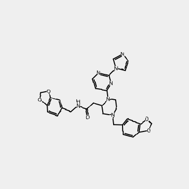 O=C(CC1CN(Cc2ccc3c(c2)OCO3)CCN1c1ccnc(-n2ccnc2)n1)NCc1ccc2c(c1)OCO2